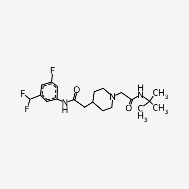 CC(C)(C)NC(=O)CN1CCC(CC(=O)Nc2cc(F)cc(C(F)F)c2)CC1